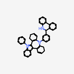 C1=CC2=C(CC1)c1c(c3ccccc3n1-c1ccccc1)C1=C(CCC=C1)N2c1cccc(C2Nc3ccccc3-c3ccccc32)c1